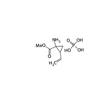 C=CC1CC1(N)C(=O)OC.O=P(O)(O)O